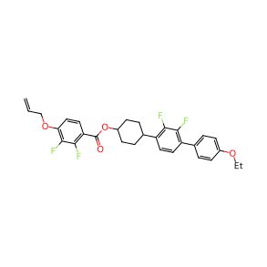 C=CCOc1ccc(C(=O)OC2CCC(c3ccc(-c4ccc(OCC)cc4)c(F)c3F)CC2)c(F)c1F